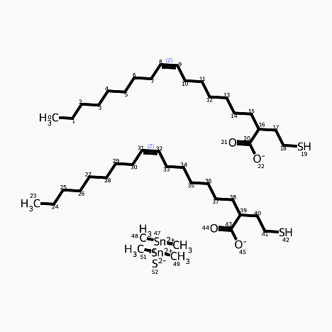 CCCCCCCC/C=C\CCCCCCC(CCS)C(=O)[O-].CCCCCCCC/C=C\CCCCCCC(CCS)C(=O)[O-].[CH3][Sn+2][CH3].[CH3][Sn+2][CH3].[S-2]